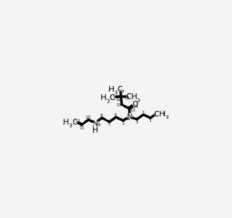 CCCCN(CCCCNCCC)C(=O)CC(C)(C)C